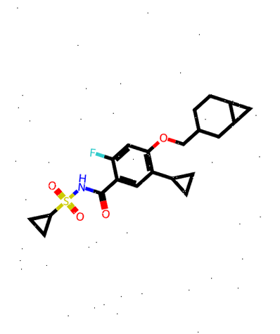 O=C(NS(=O)(=O)C1CC1)c1cc(C2CC2)c(OCC2CCC3CC3C2)cc1F